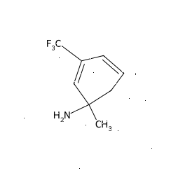 CC1(N)C=C(C(F)(F)F)C=CC1